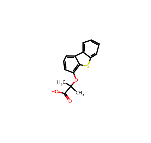 CC(C)(Oc1cccc2c1sc1ccccc12)C(=O)O